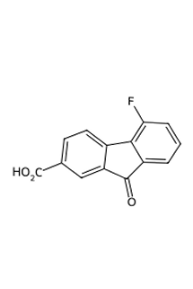 O=C(O)c1ccc2c(c1)C(=O)c1cccc(F)c1-2